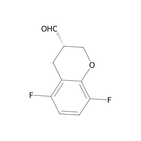 O=C[C@@H]1COc2c(F)ccc(F)c2C1